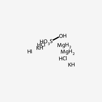 Cl.Cl.I.O=S(=O)(O)O.[KH].[KH].[MgH2].[MgH2]